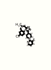 CN1Cc2cc(Cl)ccc2-n2c(nnc2C2CCN(c3ncccc3F)CC2)C1